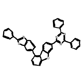 c1ccc(-c2nc(-c3ccccc3)nc(-c3ccc4c(c3)oc3cccc(-c5ccc6nc(-c7ccccc7)sc6c5)c34)n2)cc1